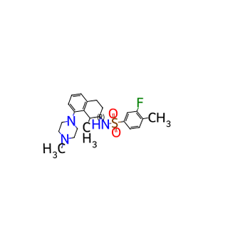 Cc1ccc(S(=O)(=O)N[C@@H]2CCc3cccc(N4CCN(C)CC4)c3C2C)cc1F